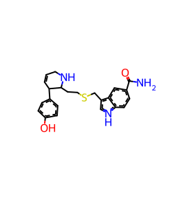 NC(=O)c1ccc2[nH]cc(CSCCC3NCC=CC3c3ccc(O)cc3)c2c1